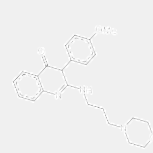 COc1ccc(C2C(=O)c3ccccc3N=C2NCCCN2CCOCC2)cc1